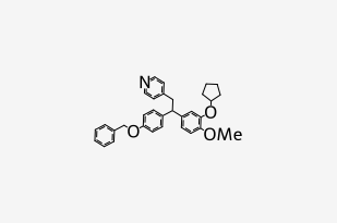 COc1ccc(C(Cc2ccncc2)c2ccc(OCc3ccccc3)cc2)cc1OC1CCCC1